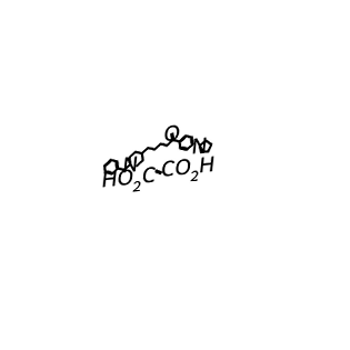 O=C(CCCCC1CCN(Cc2ccccc2)CC1)c1ccc(N2CCCC2)cc1.O=C(O)C=CC(=O)O